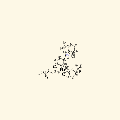 COC(=O)CC[C@H]1CN(S(=O)(=O)c2cccc(C(F)(F)F)c2)c2cc(/C=C/c3c(Cl)cccc3C(F)F)ccc2O1